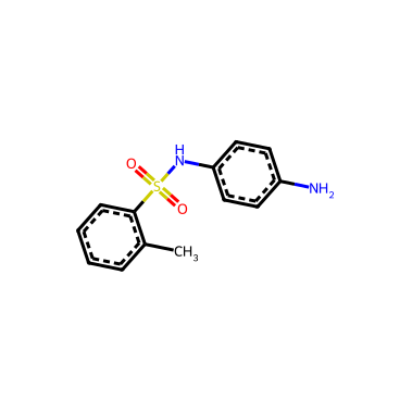 Cc1ccccc1S(=O)(=O)Nc1ccc(N)cc1